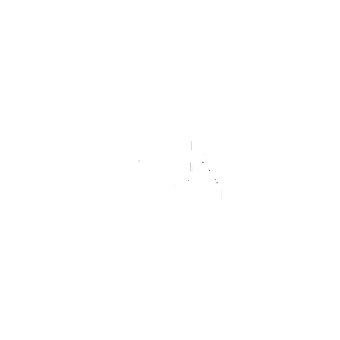 Cc1ccc(O[C@@H]2C[C@H]3CCC[C@@H](C2)N3)cc1F